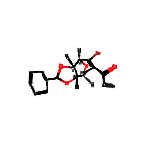 COC(=O)C1=C(Br)[C@H]2O[C@@H]1[C@@H]1OC(c3ccccc3)O[C@@H]12